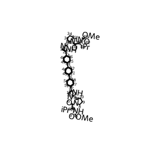 COC(=O)N[C@H](C(=O)N1CCC[C@H]1c1ncc(-c2ccc(-c3ccc(-c4ccc(-c5cnc([C@@H]6CCCN6C(=O)[C@@H](NC(=O)OC)C(C)C)[nH]5)cc4)cc3)cc2)[nH]1)C(C)C